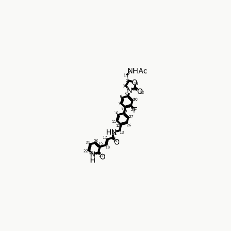 CC(=O)NC[C@H]1CN(c2ccc(-c3ccc(CNC(=O)/C=C/c4ccc[nH]c4=O)cc3)c(F)c2)C(=O)O1